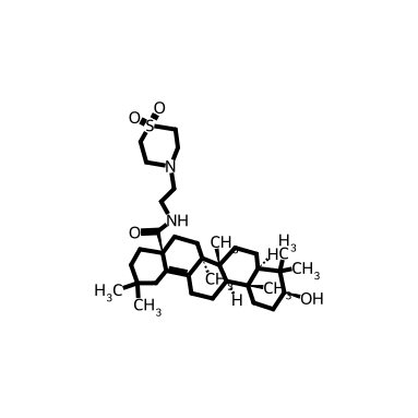 CC1(C)CC[C@]2(C(=O)NCCN3CCS(=O)(=O)CC3)CC[C@]3(C)C(=C2C1)CC[C@@H]1[C@@]2(C)CC[C@H](O)C(C)(C)[C@@H]2CC[C@]13C